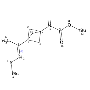 C/C(=N\SC(C)(C)C)C12CC(NC(=O)OC(C)(C)C)(C1)C2